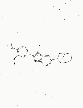 COc1ccc(-c2nc3ccc(C4CC5CCC(C5)C4)cn3n2)cc1OC